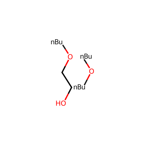 CCCCOCCCC.CCCCOCCO